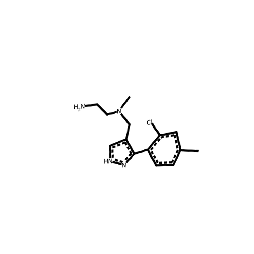 Cc1ccc(-c2n[nH]cc2CN(C)CCN)c(Cl)c1